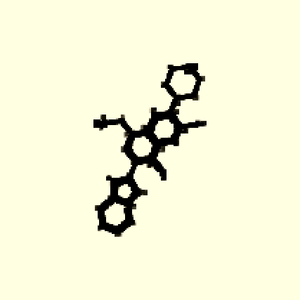 CCn1cc(-c2nc3ccccc3s2)c(=O)c2cc(F)c(N3CCNCC3)nc21